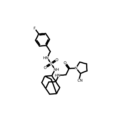 N#CC1CCCN1C(=O)CNC12CC3CC(CC(C3)C1NS(=O)(=O)NCc1ccc(F)cc1)C2